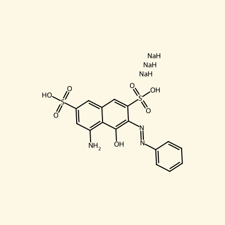 Nc1cc(S(=O)(=O)O)cc2cc(S(=O)(=O)O)c(N=Nc3ccccc3)c(O)c12.[NaH].[NaH].[NaH]